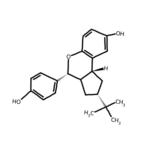 CC(C)(C)[C@@H]1CC2[C@@H](C1)c1cc(O)ccc1O[C@H]2c1ccc(O)cc1